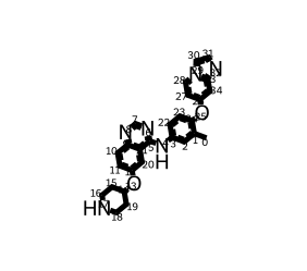 Cc1cc(Nc2ncnc3ccc(OC4CCNCC4)cc23)ccc1Oc1ccn2ccnc2c1